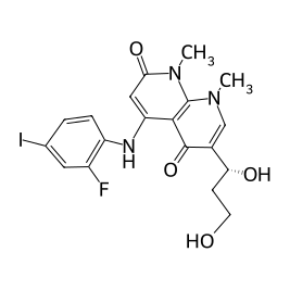 Cn1cc([C@H](O)CCO)c(=O)c2c(Nc3ccc(I)cc3F)cc(=O)n(C)c21